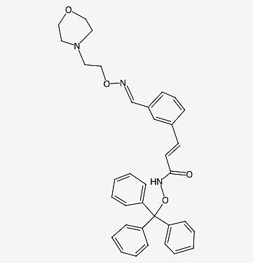 O=C(/C=C/c1cccc(/C=N/OCCN2CCOCC2)c1)NOC(c1ccccc1)(c1ccccc1)c1ccccc1